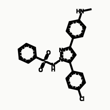 CNc1ccc(-c2cc(-c3ccc(Cl)cc3)n(NS(=O)(=O)c3ccccc3)n2)cc1